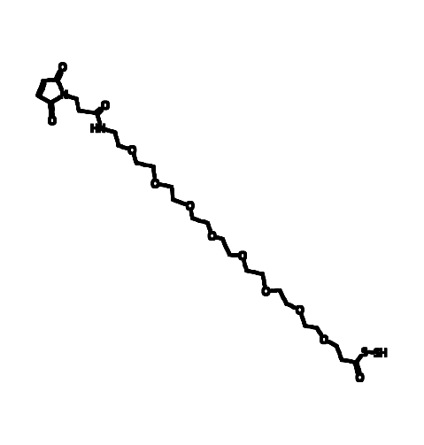 O=C(CCN1C(=O)C=CC1=O)NCCOCCOCCOCCOCCOCCOCCOCCOCCC(=O)SS